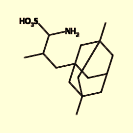 CC(CC12CC3CC(C)(CC(C)(C3)C1)C2)C(N)S(=O)(=O)O